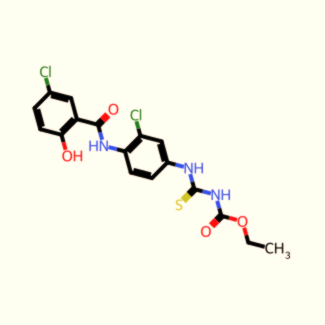 CCOC(=O)NC(=S)Nc1ccc(NC(=O)c2cc(Cl)ccc2O)c(Cl)c1